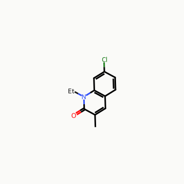 CCn1c(=O)c(C)cc2ccc(Cl)cc21